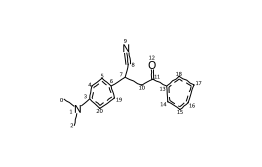 CN(C)c1ccc(C(C#N)CC(=O)c2ccccc2)cc1